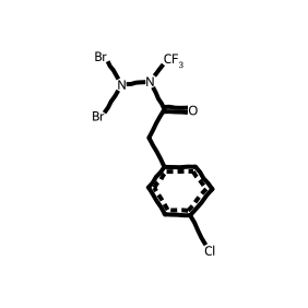 O=C(Cc1ccc(Cl)cc1)N(N(Br)Br)C(F)(F)F